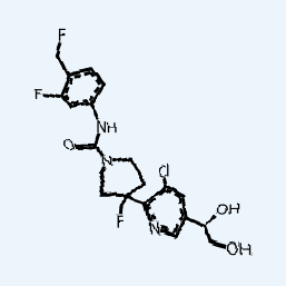 O=C(Nc1ccc(CF)c(F)c1)N1CCC(F)(c2ncc([C@@H](O)CO)cc2Cl)CC1